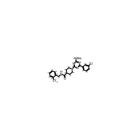 CNc1nc(-c2cccc(Cl)c2)nc(N2CCC(C(=O)NCc3ccccc3C(F)(F)F)CC2)n1